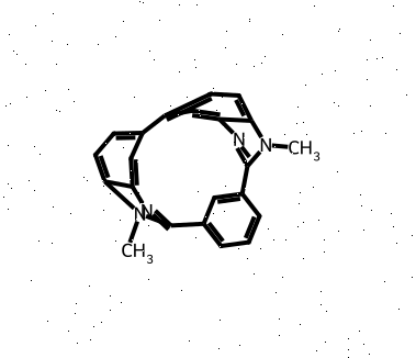 Cn1c2nc3cc(ccc31)-c1ccc3c(c1)nc(n3C)-c1cccc-2c1